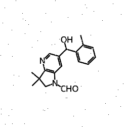 Cc1ccccc1C(O)c1cnc2c(c1)N(C=O)CC2(C)C